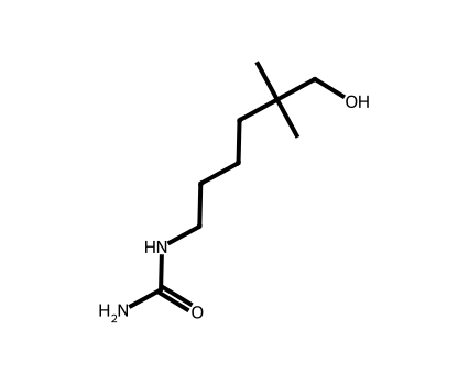 CC(C)(CO)CCCCNC(N)=O